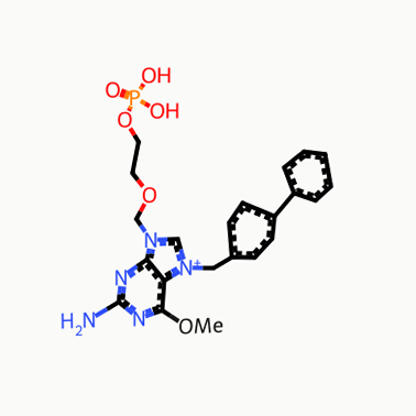 COc1nc(N)nc2c1[n+](Cc1ccc(-c3ccccc3)cc1)cn2COCCOP(=O)(O)O